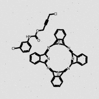 O=C(Nc1cccc(Cl)c1)OCC#CCCl.c1ccc2c(c1)-c1nc-2nc2[nH]c(nc3nc(nc4[nH]c(n1)c1ccccc41)-c1ccccc1-3)c1ccccc21